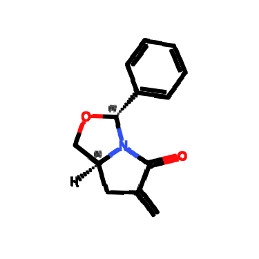 C=C1C[C@H]2CO[C@H](c3ccccc3)N2C1=O